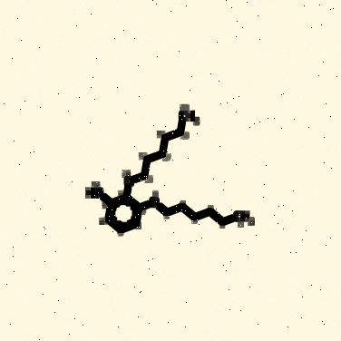 CCCCCCOc1cccc(O)c1OCCCCCC